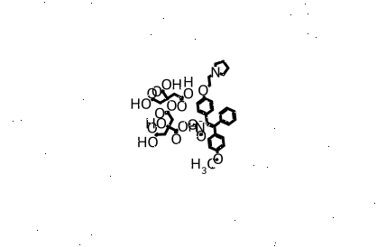 COc1ccc(C(=C(c2ccc(OCCN3CCCC3)cc2)[N+](=O)[O-])c2ccccc2)cc1.O=C(O)CC(O)(CC(=O)OC(CC(=O)O)(CC(=O)O)C(=O)O)C(=O)O